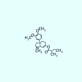 CCC(C)C(=O)OC1=CC2N(C)CCC2(c2ccc(OC)c(OC)c2)CC1